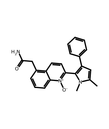 Cc1cc(-c2ccccc2)c(-c2ccc3c(CC(N)=O)cccc3[n+]2[O-])n1C